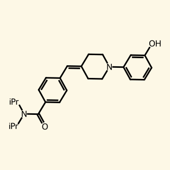 CC(C)N(C(=O)c1ccc(C=C2CCN(c3cccc(O)c3)CC2)cc1)C(C)C